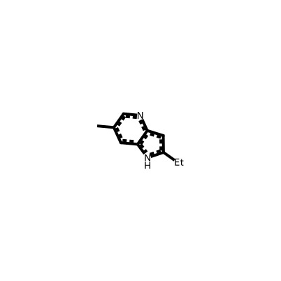 CCc1cc2ncc(C)cc2[nH]1